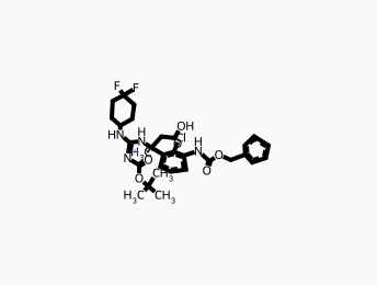 CC(C)(C)OC(=O)/N=C(/NC1CCC(F)(F)CC1)N[C@@](C)(CC(=O)O)c1cccc(NC(=O)OCc2ccccc2)c1Cl